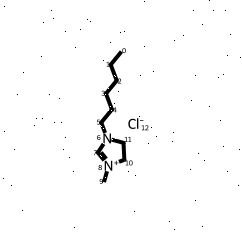 CCCCCCN1C=[N+](C)CC1.[Cl-]